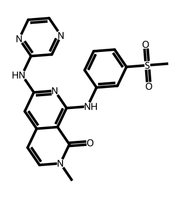 Cn1ccc2cc(Nc3cnccn3)nc(Nc3cccc(S(C)(=O)=O)c3)c2c1=O